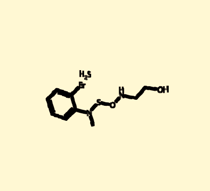 CN(SONCCO)c1ccccc1Br.S